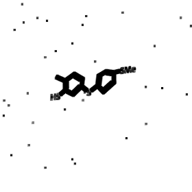 CSc1ccc(Sc2ccc(C)c(S)c2)cc1